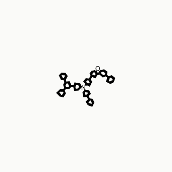 C1=CC(c2ccccc2)Cc2c1oc1ccc(-c3ccc(N(C4=CC=C(C5=CC(c6ccccc6)=CC(c6ccccc6)C5)CC4)c4ccc(-c5ccccc5)cc4)cc3)cc21